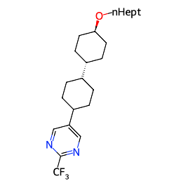 CCCCCCCO[C@H]1CC[C@H](C2CCC(c3cnc(C(F)(F)F)nc3)CC2)CC1